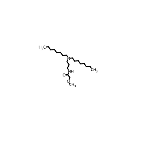 CCCCCCCCN(CCCCCCCC)CCCNC(=O)COC